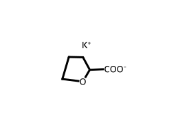 O=C([O-])C1CCCO1.[K+]